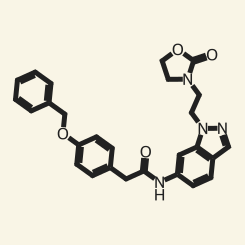 O=C(Cc1ccc(OCc2ccccc2)cc1)Nc1ccc2cnn(CCN3CCOC3=O)c2c1